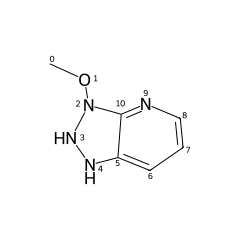 CON1NNc2cccnc21